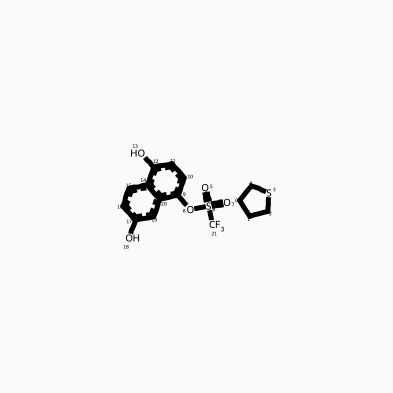 C1CCSC1.O=S(=O)(Oc1ccc(O)c2ccc(O)cc12)C(F)(F)F